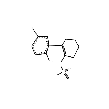 COc1ccc(Cl)cc1C1=C(OS(=O)(=O)C(F)(F)F)CCCC1